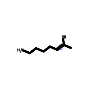 C/C(S)=C/CCCCN